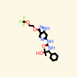 CC(C)(O)[C@@H](NC(=O)Nc1cc2[nH]nc(OCCOC(F)(F)F)c2cn1)c1ccccc1